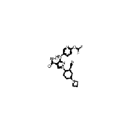 N#CC1CC(N2CCC2)CCC1n1cc(C(N)=O)c(Nc2ccc(OC(F)F)nc2)n1